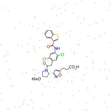 CO[C@H]1C[C@@H](c2cc(CCC(=O)O)on2)N(C(=O)Cc2cc(Cl)c(NC(=O)c3csc4ccccc34)cc2Cl)C1